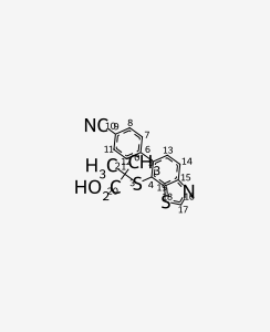 CC(C)(Sc1c(-c2ccc(C#N)cc2)ccc2ncsc12)C(=O)O